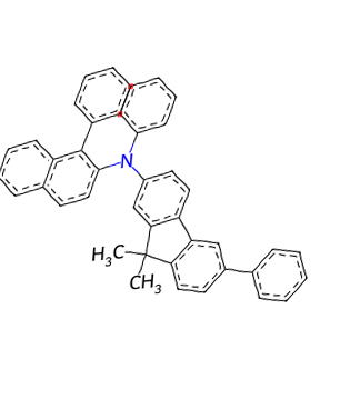 CC1(C)c2ccc(-c3ccccc3)cc2-c2ccc(N(c3ccccc3)c3ccc4ccccc4c3-c3ccccc3)cc21